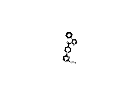 CNc1nccc(N2CCC(C(=O)N3N=CC[C@H]3c3ccccc3)CC2)n1